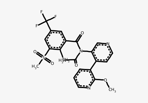 COc1ncccc1-c1ccncc1N(C(N)=O)C(=O)c1cc(C(F)(F)F)cc(S(C)(=O)=O)c1C